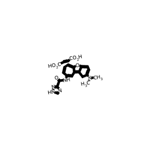 CN(C)C1=CC=c2oc3c(c2C1)C=C(NC(=O)c1nc[nH]n1)C=CC=3.O=C(O)C=CC(=O)O